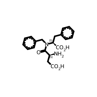 N[C@@H](CC(=O)O)C(=O)N(Cc1ccccc1)[C@@H](Cc1ccccc1)C(=O)O